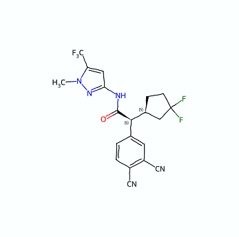 Cn1nc(NC(=O)[C@H](c2ccc(C#N)c(C#N)c2)[C@H]2CCC(F)(F)C2)cc1C(F)(F)F